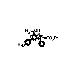 CCOC(=O)CSc1nc2c(C(N)O)nc(-c3ccc(OCC)cc3)nc2n1-c1ccccc1